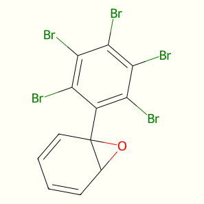 Brc1c(Br)c(Br)c(C23C=CC=CC2O3)c(Br)c1Br